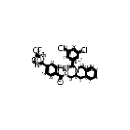 O=C(NCC1Cc2ccccc2CN1C(O)c1cc(Cl)cc(Cl)c1)c1ccc(-c2noc(C(F)(F)F)n2)cc1